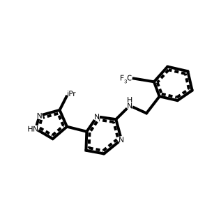 CC(C)c1n[nH]cc1-c1ccnc(NCc2ccccc2C(F)(F)F)n1